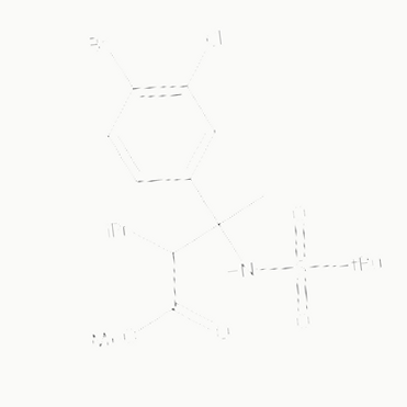 COC(=O)C(C(C)C)C(C)(NS(=O)(=O)C(C)(C)C)c1ccc(Br)c(Cl)c1